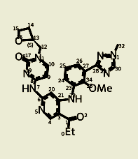 CCC(=O)c1cnc(Nc2ccn(C[C@@H]3CCO3)c(=O)n2)cc1Nc1cccc(-c2ncn(C)n2)c1OC